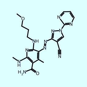 CNc1nc(NCCCOC)c(/N=N/c2nn(-c3ncccn3)cc2C#N)c(C)c1C(N)=O